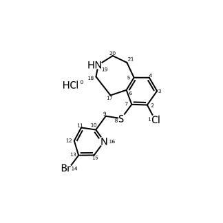 Cl.Clc1ccc2c(c1SCc1ccc(Br)cn1)CCNCC2